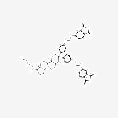 CC(C)CCCC(C)C1CCC2C3CCC4CC(c5ccc(OCOc6ccc7c(c6)C(=O)OC7=O)cc5)(c5ccc(OCOc6ccc7c(c6)C(=O)OC7=O)cc5)CCC4(C)C3CCC12C